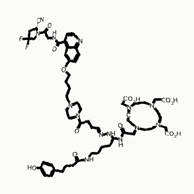 N#C[C@H]1CC(F)(F)CN1C(=O)CNC(=O)c1ccnc2ccc(OCCCCN3CCN(C(=O)CC/C=N/NC(CCCCNC(=O)CCCc4ccc(O)cc4)NC(=O)CN4CCN(CC(=O)O)CCN(CC(=O)O)CCN(CC(=O)O)CC4)CC3)cc12